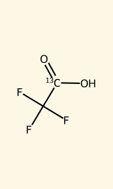 O=[13C](O)C(F)(F)F